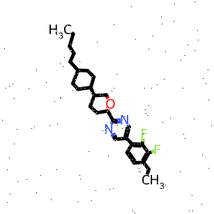 CCCCCC1CCC(C2CCC(c3ncc(-c4ccc(CC)c(F)c4F)cn3)OC2)CC1